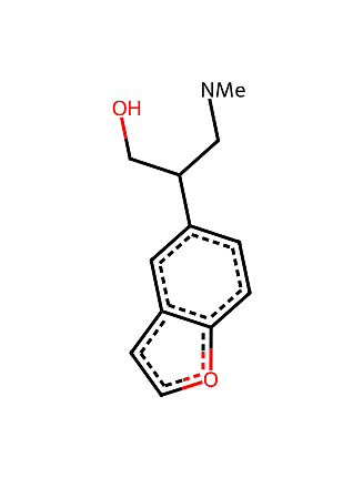 CNCC(CO)c1ccc2occc2c1